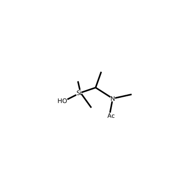 CC(=O)N(C)C(C)[Si](C)(C)O